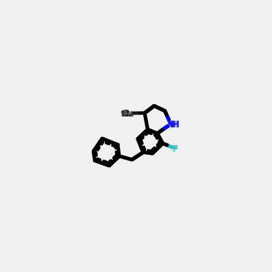 CC(C)(C)C1CCNc2c(F)cc(Cc3ccccc3)cc21